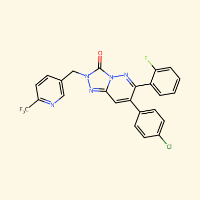 O=c1n(Cc2ccc(C(F)(F)F)nc2)nc2cc(-c3ccc(Cl)cc3)c(-c3ccccc3F)nn12